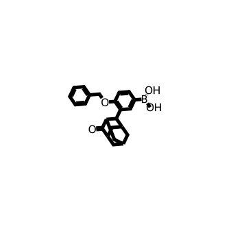 O=C1C2CC3CC(C2)C(c2cc(B(O)O)ccc2OCc2ccccc2)C1C3